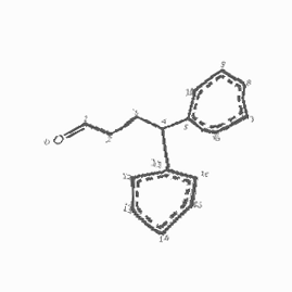 O=CCCC(c1ccccc1)c1ccccc1